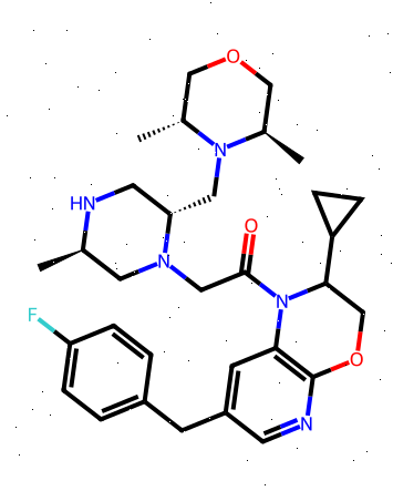 C[C@@H]1CN(CC(=O)N2c3cc(Cc4ccc(F)cc4)cnc3OCC2C2CC2)[C@@H](CN2[C@H](C)COC[C@H]2C)CN1